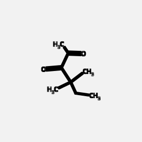 CCC(C)(C)C(=O)C(C)=O